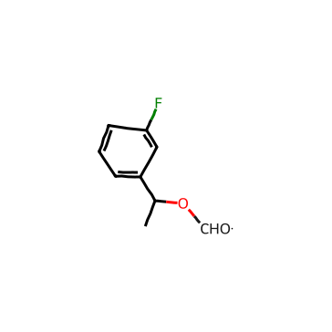 CC(O[C]=O)c1cccc(F)c1